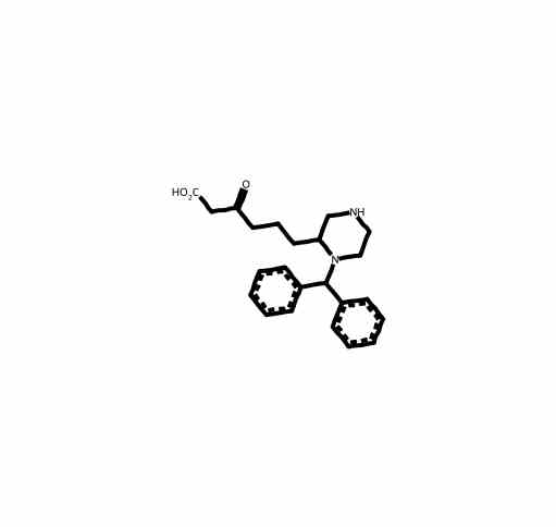 O=C(O)CC(=O)CCCC1CNCCN1C(c1ccccc1)c1ccccc1